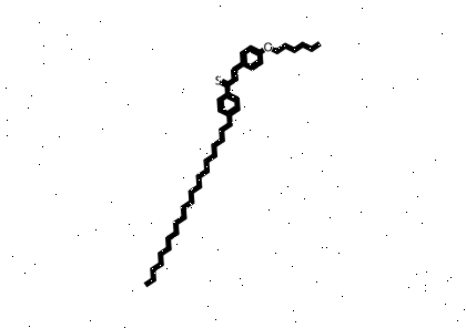 CCCCCCCCCCCCCCCCCCCCCCc1ccc(C(=S)C=Cc2ccc(OCCCCCC)cc2)cc1